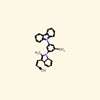 C#C/C=C\C1=C(C)N(c2cc(C)cc(-n3c4ccccc4c4ccccc43)c2)C2C=CC=CC12